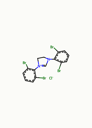 Brc1cccc(Br)c1N1C=[N+](c2c(Br)cccc2Br)CC1.[Cl-]